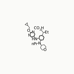 CCCN(c1ccc([C@H](CC)CC(=O)O)cc1Nc1cnc(OCC2CC2)nc1)C1CCOCC1